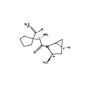 C=C(F)C1([C@H](N)C(=O)N2C3C[C@H]3C[C@H]2C)CCCC1